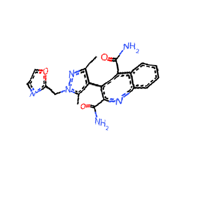 Cc1nn(Cc2ncco2)c(C)c1-c1c(C(N)=O)nc2ccccc2c1C(N)=O